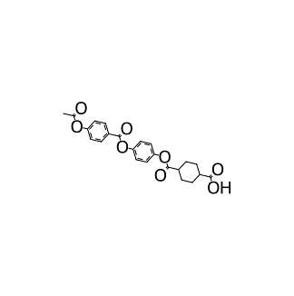 CC(=O)Oc1ccc(C(=O)Oc2ccc(OC(=O)C3CCC(C(=O)O)CC3)cc2)cc1